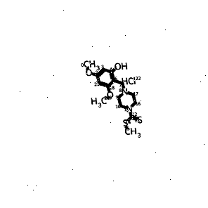 COc1cc(O)c(CN2CCN(C(=S)SC)CC2)c(OC)c1.Cl